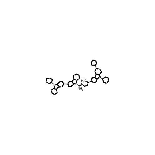 C=C(/C=C\N=C(/N)n1c2ccccc2c2cc(-c3ccc4c(c3)c3ccccc3n4-c3ccccc3)ccc21)c1ccc2c(c1)c1cc(-c3ccccc3)ccc1n2-c1ccccc1